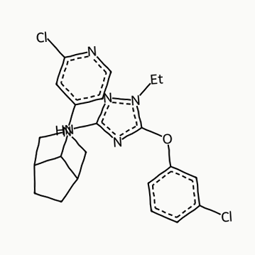 CCn1nc(NC2C3CCC2CN(c2ccnc(Cl)c2)C3)nc1Oc1cccc(Cl)c1